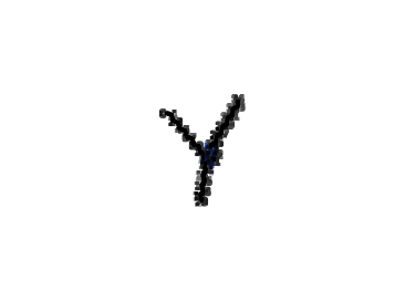 CCCCCCCCCCCC1N(CCCCCCCC)C=CN1CCCCCCCCCCC